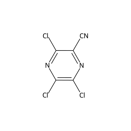 N#Cc1nc(Cl)c(Cl)nc1Cl